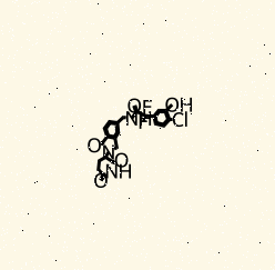 O=C1CCC(N2Cc3cc(CNC(=O)C(F)(F)c4ccc(Cl)c(O)c4)ccc3C2=O)C(=O)N1